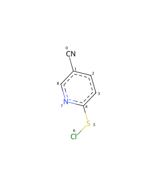 N#Cc1ccc(SCl)nc1